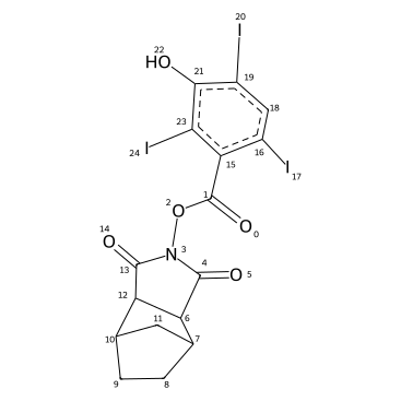 O=C(ON1C(=O)C2C3CCC(C3)C2C1=O)c1c(I)cc(I)c(O)c1I